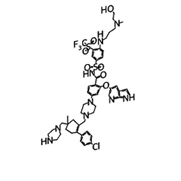 CN(CCO)CCCNc1ccc(S(=O)(=O)NC(=O)c2ccc(N3CCN(CC4=C(c5ccc(Cl)cc5)CCC(C)(CN5CCNCC5)C4)CC3)cc2Oc2cnc3[nH]ccc3c2)cc1S(=O)(=O)C(F)(F)F